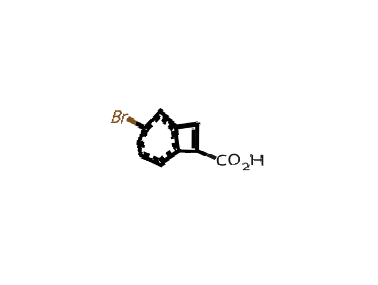 O=C(O)C1=Cc2cc(Br)ccc21